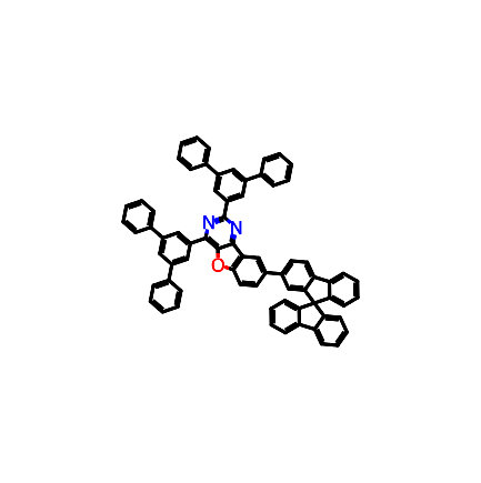 c1ccc(-c2cc(-c3ccccc3)cc(-c3nc(-c4cc(-c5ccccc5)cc(-c5ccccc5)c4)c4oc5ccc(-c6ccc7c(c6)C6(c8ccccc8-c8ccccc86)c6ccccc6-7)cc5c4n3)c2)cc1